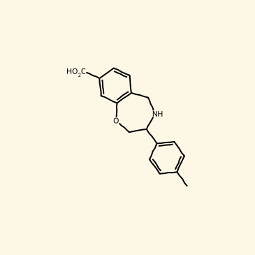 Cc1ccc(C2COc3cc(C(=O)O)ccc3CN2)cc1